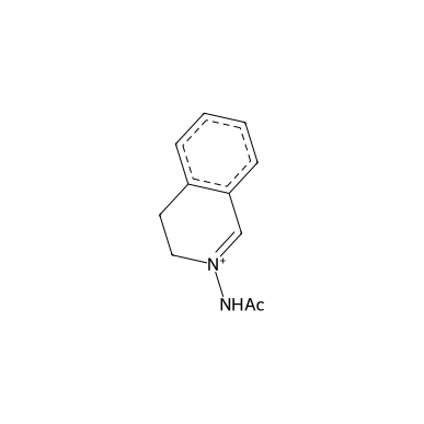 CC(=O)N[N+]1=Cc2ccccc2CC1